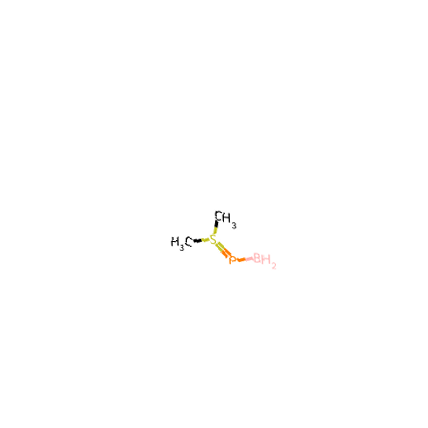 BP=S(C)C